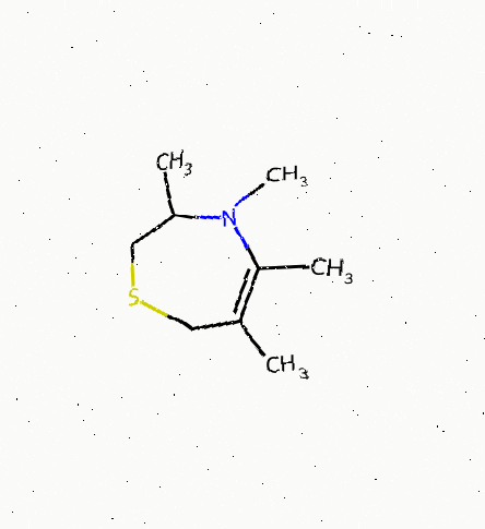 CC1=C(C)N(C)C(C)CSC1